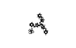 O=S(=O)([O-])[O-].[Cu+2].c1ccc(Cn2cc(CN(Cc3cn(Cc4ccccc4)nn3)Cc3cn(Cc4ccccc4)nn3)nn2)cc1